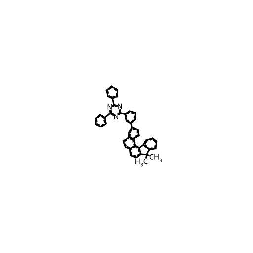 CC1(C)c2ccccc2-c2c1ccc1ccc3cc(-c4cccc(-c5nc(-c6ccccc6)nc(-c6ccccc6)n5)c4)ccc3c21